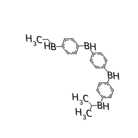 CCBc1ccc(Bc2ccc(Bc3ccc(BC(C)C)cc3)cc2)cc1